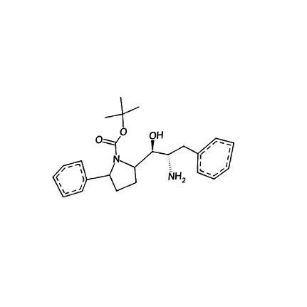 CC(C)(C)OC(=O)N1C(c2ccccc2)CCC1[C@@H](O)[C@@H](N)Cc1ccccc1